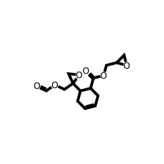 O=COCC1(C2CC=CCC2C(=O)OCC2CO2)CO1